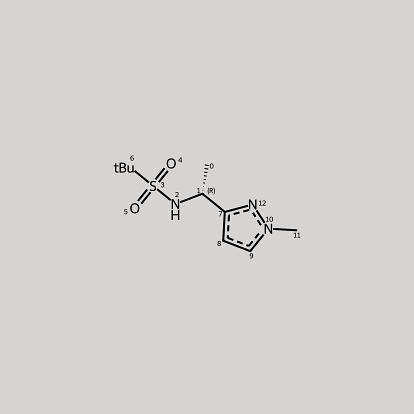 C[C@@H](NS(=O)(=O)C(C)(C)C)c1ccn(C)n1